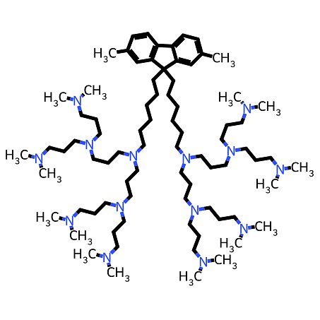 Cc1ccc2c(c1)C(CCCCCCN(CCCN(CCCN(C)C)CCCN(C)C)CCCN(CCCN(C)C)CCCN(C)C)(CCCCCCN(CCCN(CCCN(C)C)CCCN(C)C)CCCN(CCCN(C)C)CCCN(C)C)c1cc(C)ccc1-2